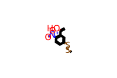 C=C(O)c1cc(SSC)ccc1[N+](=O)[O-]